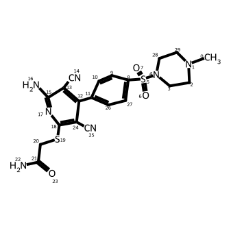 CN1CCN(S(=O)(=O)c2ccc(-c3c(C#N)c(N)nc(SCC(N)=O)c3C#N)cc2)CC1